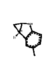 Cc1ccc2c(c1)[C@@H]1CC1N2